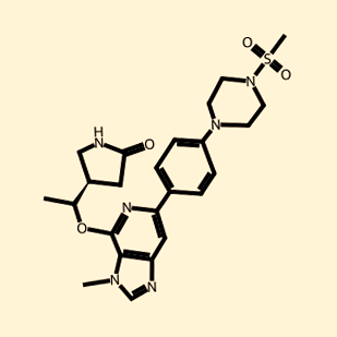 CC(Oc1nc(-c2ccc(N3CCN(S(C)(=O)=O)CC3)cc2)cc2ncn(C)c12)[C@H]1CNC(=O)C1